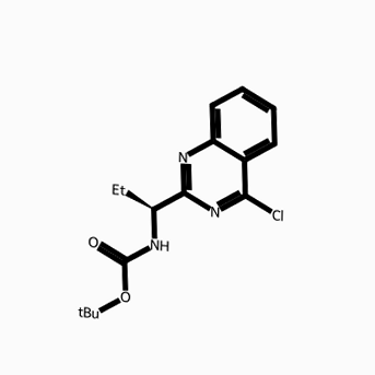 CC[C@H](NC(=O)OC(C)(C)C)c1nc(Cl)c2ccccc2n1